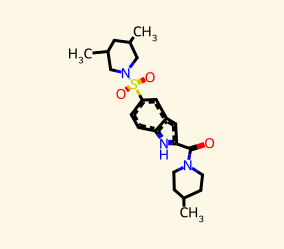 CC1CCN(C(=O)c2cc3cc(S(=O)(=O)N4CC(C)CC(C)C4)ccc3[nH]2)CC1